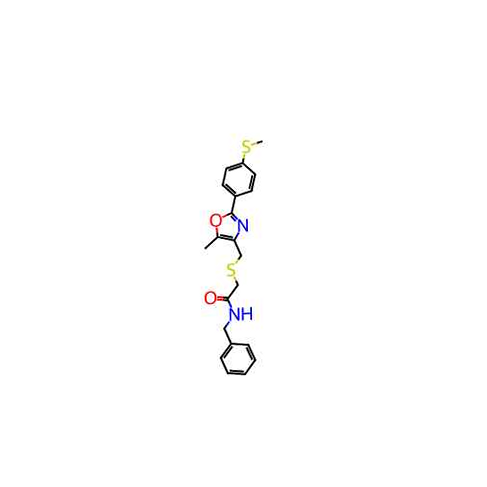 CSc1ccc(-c2nc(CSCC(=O)NCc3ccccc3)c(C)o2)cc1